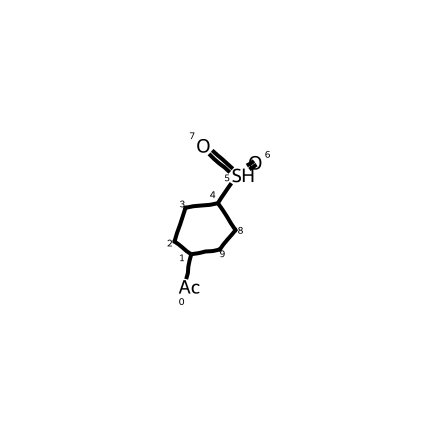 CC(=O)C1CCC([SH](=O)=O)CC1